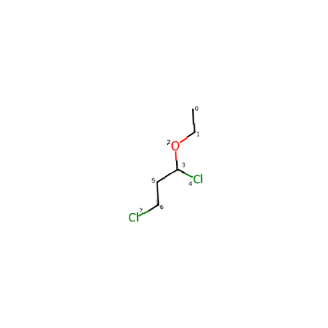 CCOC(Cl)CCCl